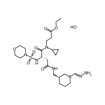 CCOC(=O)CCN(C(=O)[C@H](CC(=O)NC[C@@H]1CCCN(C=NN)C1)NS(=O)(=O)N1CCOCC1)C1CC1.Cl